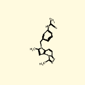 CC(=O)Nc1cccc(Cn2c(C)cc3c2ccc2nnc(C)n23)c1